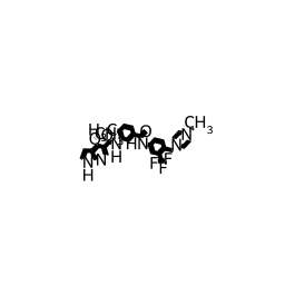 CCN1CCN(Cc2ccc(NC(=O)c3ccc(C)c(NC(=O)c4cnc5[nH]ccc5c4OC)c3)cc2C(F)(F)F)CC1